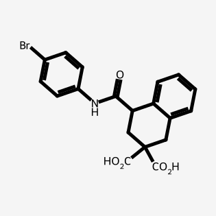 O=C(Nc1ccc(Br)cc1)C1CC(C(=O)O)(C(=O)O)Cc2ccccc21